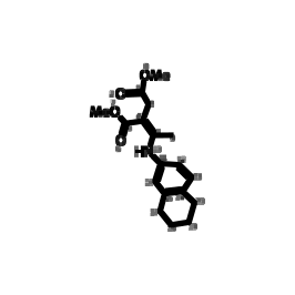 COC(=O)CC(C(=O)OC)=C(C)Nc1ccc2c(c1)CCCC2